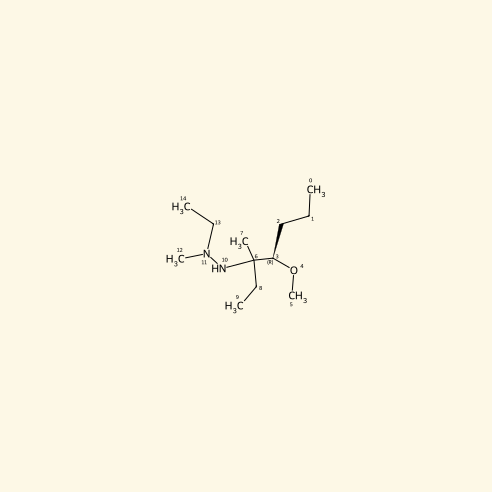 CCC[C@@H](OC)C(C)(CC)NN(C)CC